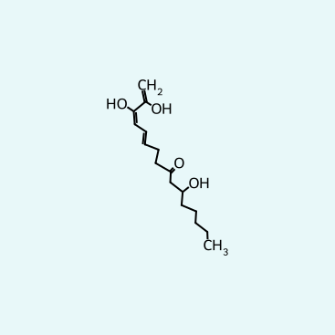 C=C(O)/C(O)=C\C=C\CCC(=O)CC(O)CCCCC